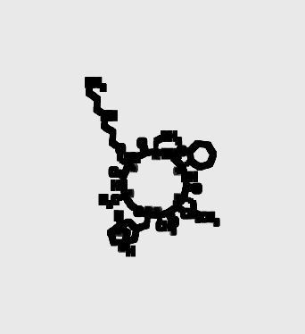 CCC[C@H]1C(=O)N[C@@H](C2CCCCCC2)C(=O)N[C@@H](CN)C(=O)N[C@@H](COCCCNCCCN)C(=O)N[C@H](C)CO[C@H](CC2C[C@H]3CC[C@@H](C2)C3)[C@@H](C)C(=O)N1C